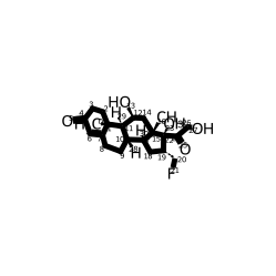 C[C@]12CCC(=O)C=C1CC[C@@H]1[C@@H]2[C@@H](O)C[C@@]2(C)[C@H]1C[C@@H](CF)[C@]2(O)C(=O)CO